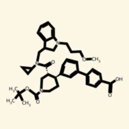 COCCCN1CC(CN(C(=O)[C@H]2CN(C(=O)OC(C)(C)C)CC[C@@H]2c2cccc(-c3ccc(C(=O)O)cc3)c2)C2CC2)c2ccccc21